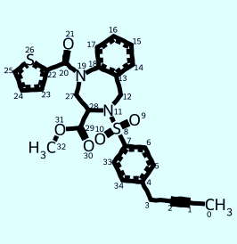 CC#CCc1ccc(S(=O)(=O)N2Cc3ccccc3N(C(=O)c3cccs3)CC2C(=O)OC)cc1